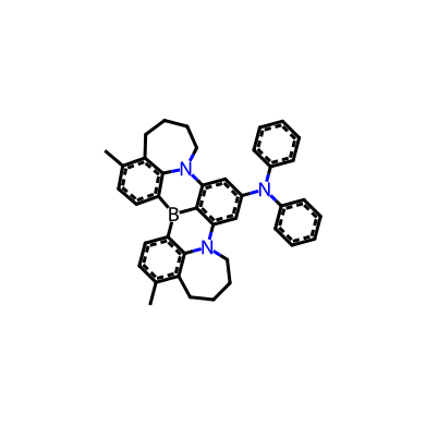 Cc1ccc2c3c1CCCCN3c1cc(N(c3ccccc3)c3ccccc3)cc3c1B2c1ccc(C)c2c1N3CCCC2